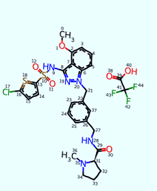 COc1cccc2c1c(NS(=O)(=O)c1ccc(Cl)s1)nn2Cc1cccc(CNC(=O)[C@H]2CCCN2C)c1.O=C(O)C(F)(F)F